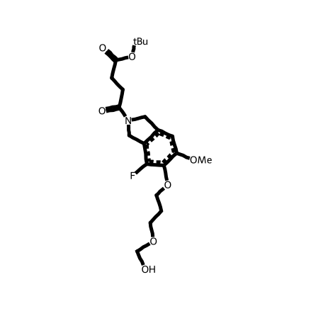 COc1cc2c(c(F)c1OCCCOCO)CN(C(=O)CCC(=O)OC(C)(C)C)C2